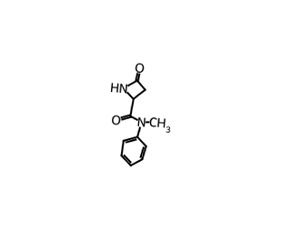 CN(C(=O)C1CC(=O)N1)c1ccccc1